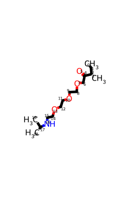 CCC(C)C(=O)COCCOCCOCCNC(C)C